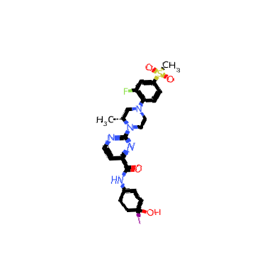 C[C@@H]1CN(c2ccc(S(C)(=O)=O)cc2F)CCN1c1nccc(C(=O)NC2CCC(O)(I)CC2)n1